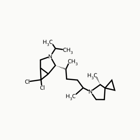 CC(CCC(C)N1CCC2(CC2)[C@H]1C)[C@@H]1C2C(CN1C(C)C)C2(Cl)Cl